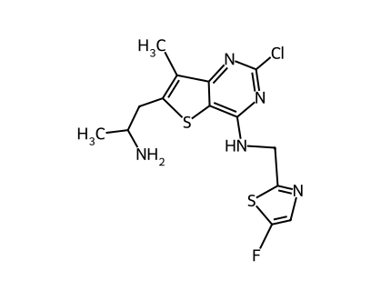 Cc1c(CC(C)N)sc2c(NCc3ncc(F)s3)nc(Cl)nc12